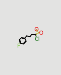 O=S(=O)=C(Cl)CCCc1ccc(F)cc1